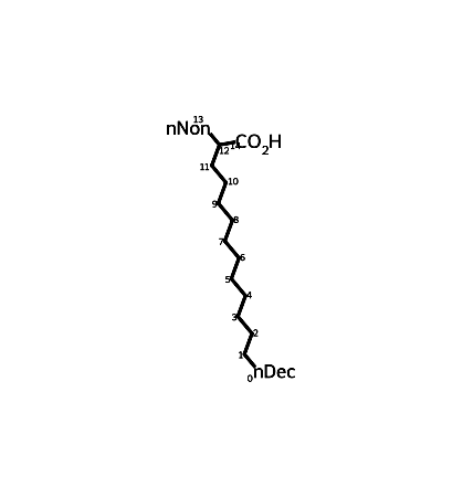 CCCCCCCCCCCCCCCCCCCCCC(CCCCCCCCC)C(=O)O